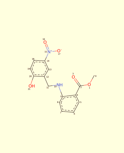 COC(=O)c1ccccc1NCc1cc([N+](=O)[O-])ccc1O